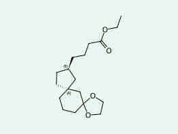 CCOC(=O)CCC[C@@H]1CC[C@]2(CCCC3(C2)OCCO3)C1